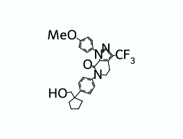 COc1ccc(-n2nc(C(F)(F)F)c3c2C(=O)N(c2ccc(C4(CO)CCCC4)cc2)CC3)cc1